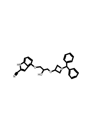 N#Cc1cc2c(OCC(O)COC3CN(C(c4ccccc4)c4ccccc4)C3)cccc2[nH]1